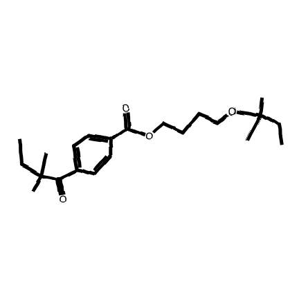 CCC(C)(C)OCCCCOC(=O)c1ccc(C(=O)C(C)(C)CC)cc1